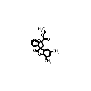 C=C(CC1(c2ccccc2)C(=O)Oc2c(C)cc(C)cc21)C(=O)OCC